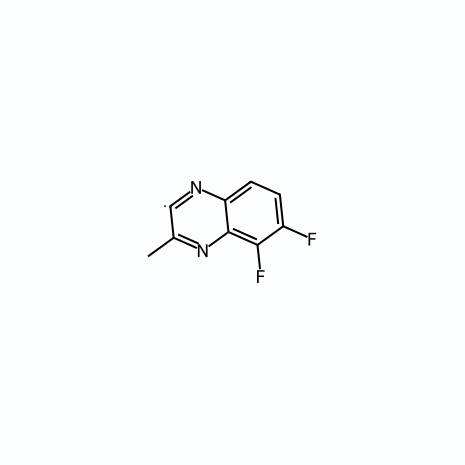 Cc1[c]nc2ccc(F)c(F)c2n1